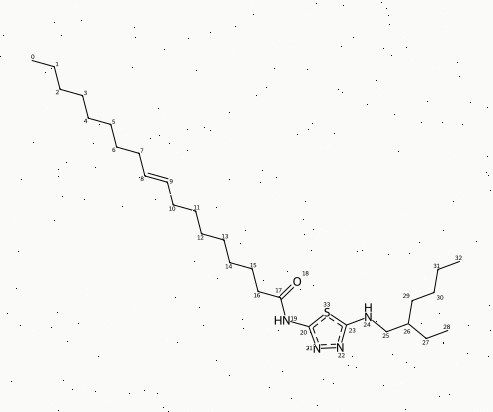 CCCCCCCCC=CCCCCCCCC(=O)Nc1nnc(NCC(CC)CCCC)s1